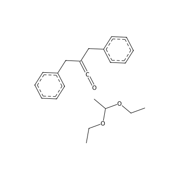 CCOC(C)OCC.O=C=C(Cc1ccccc1)Cc1ccccc1